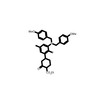 CCOC(=O)C1CCC(c2cc(C)cc(N(Cc3ccc(OC)cc3)Cc3ccc(OC)cc3)c2F)CC1=O